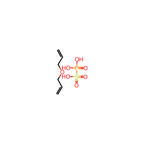 C=CCOCC=C.O=P(O)(O)S(=O)(=O)O